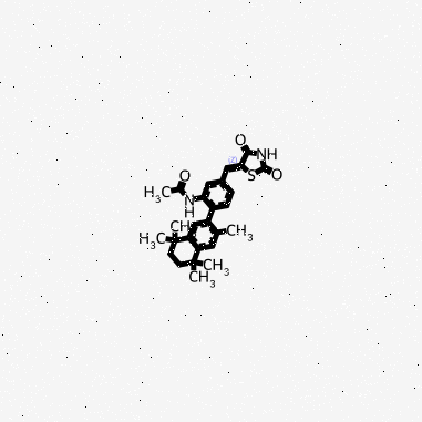 CC(=O)Nc1cc(/C=C2\SC(=O)NC2=O)ccc1-c1cc2c(cc1C)C(C)(C)CCC2(C)C